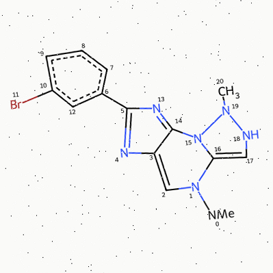 CNN1C=C2N=C(c3cccc(Br)c3)N=C2N2C1=CNN2C